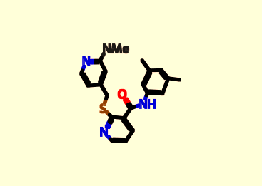 CNc1cc(CSc2ncccc2C(=O)Nc2cc(C)cc(C)c2)ccn1